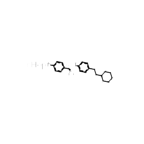 CCCCCCCc1ccc(C(=O)Oc2ccc(CCC3CC[CH]CC3)cc2)cc1